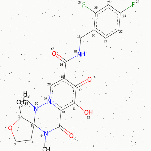 CC1OCCC12N(C)C(=O)c1c(O)c(=O)c(C(=O)NCc3ccc(F)cc3F)cn1N2C